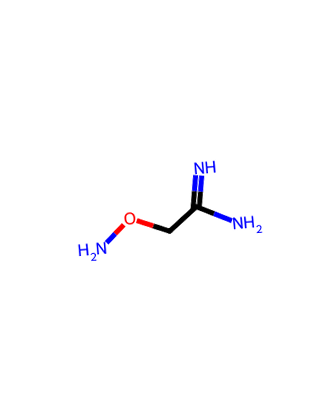 N=C(N)CON